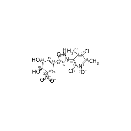 Cc1c(Cl)c(C)[n+]([O-])c(Cl)c1N1C=C(c2cc(O)c(O)c([N+](=O)[O-])c2)ON1